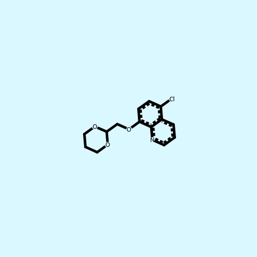 Clc1ccc(OCC2OCCCO2)c2ncccc12